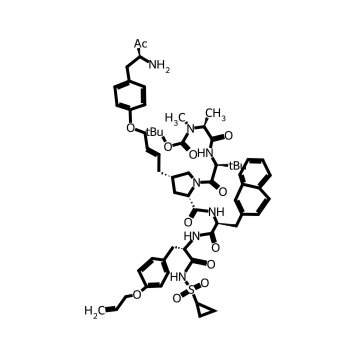 C=CCOc1ccc(C[C@H](NC(=O)[C@H](Cc2ccc3ccccc3c2)NC(=O)[C@@H]2C[C@H](C/C=C/COc3ccc(C[C@H](N)C(C)=O)cc3)CN2C(=O)[C@@H](NC(=O)[C@H](C)N(C)C(=O)OC(C)(C)C)C(C)(C)C)C(=O)NS(=O)(=O)C2CC2)cc1